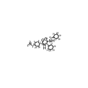 CN(C)Cc1ccc(C(=O)NC(C(=O)NCc2ccccc2)c2ccccc2)cc1